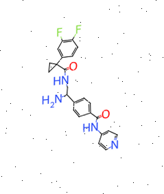 NC(CNC(=O)C1(c2ccc(F)c(F)c2)CC1)c1ccc(C(=O)Nc2ccncc2)cc1